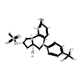 CS(=O)(=O)O[C@H]1C[C@@H]2CN(c3ccc(C(F)(F)F)cc3)c3ccc(Br)nc3N2C1